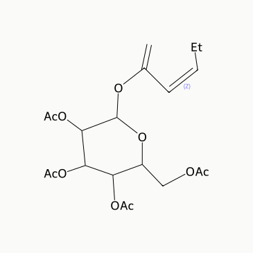 C=C(/C=C\CC)OC1OC(COC(C)=O)C(OC(C)=O)C(OC(C)=O)C1OC(C)=O